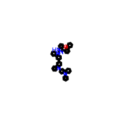 C1=Cc2c(c3c(n2-c2ccccc2)=CCC(n2c4c(c5ccccc52)C=C(C2=Cc5c6c(n(C7N=C(c8cccc9c%10c(oc89)C=CCC%10)c8ccccc8N7)c5CC2)CCC=C6)CC4)C=3)CC1